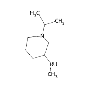 CNC1CCCN(C(C)C)C1